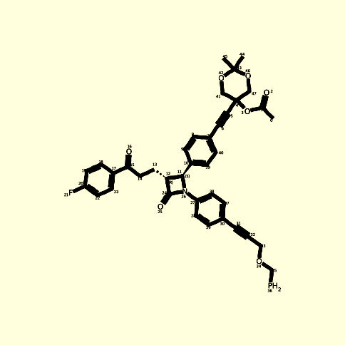 CC(=O)OC1(C#Cc2ccc([C@@H]3[C@@H](CCC(=O)c4ccc(F)cc4)C(=O)N3c3ccc(C#CCOCP)cc3)cc2)COC(C)(C)OC1